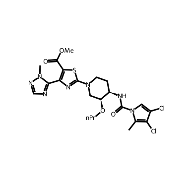 CCCO[C@H]1CN(c2nc(-c3ncnn3C)c(C(=O)OC)s2)CC[C@H]1NC(=O)n1cc(Cl)c(Cl)c1C